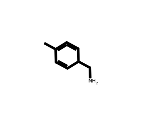 CC1=C=CC(CN)C=C1